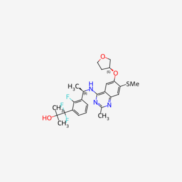 CSc1cc2nc(C)nc(N[C@H](C)c3cccc(C(F)(F)C(C)(C)O)c3F)c2cc1O[C@H]1CCOC1